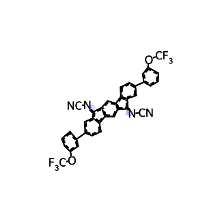 N#C/N=c1\c2cc(-c3cccc(OC(F)(F)F)c3)ccc2c2cc3/c(=N/C#N)c4cc(-c5cccc(OC(F)(F)F)c5)ccc4c3cc12